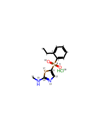 CCc1ccccc1S(=O)(=O)c1cnc(NC)s1.Cl